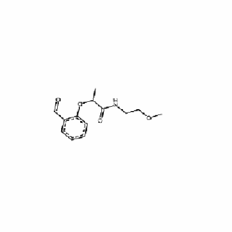 COCCNC(=O)C(C)Oc1ccccc1C=O